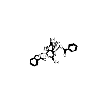 N=C1N[C@H]2[C@H](CN3Cc4ccccc4C3=O)NC(=N)N3C[C@H](OC(=O)c4ccccc4)C(O)(O)[C@]23N1